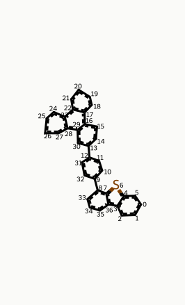 c1ccc2c(c1)sc1c(-c3ccc(-c4ccc5c6ccccc6c6ccccc6c5c4)cc3)cccc12